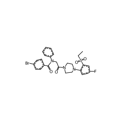 CCS(=O)(=O)c1cc(F)ccc1N1CCN(C(=O)CN(C(=O)c2ccc(Br)cc2)c2ccccc2)CC1